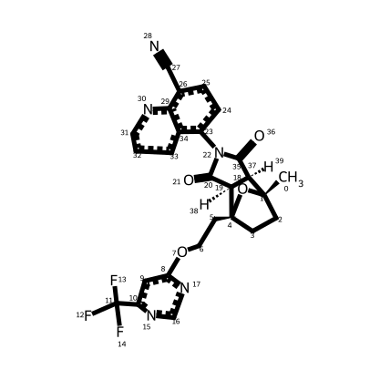 C[C@@]12CC[C@@](CCOc3cc(C(F)(F)F)ncn3)(O1)[C@H]1C(=O)N(c3ccc(C#N)c4ncccc34)C(=O)[C@H]12